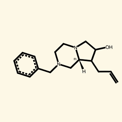 C=CCC1C(O)CN2CCN(Cc3ccccc3)C[C@@H]12